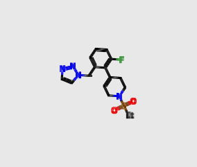 CCS(=O)(=O)N1CC=C(c2c(F)cccc2[CH]n2ccnn2)CC1